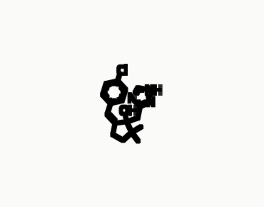 CC1(C)CC/C(=C/c2ccc(Cl)cc2)C1(O)Cc1nc[nH]n1